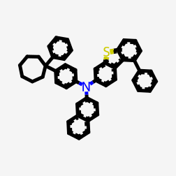 c1ccc(-c2cccc3sc4cc(N(c5ccc(C6(c7ccccc7)CCCCCC6)cc5)c5ccc6ccccc6c5)ccc4c23)cc1